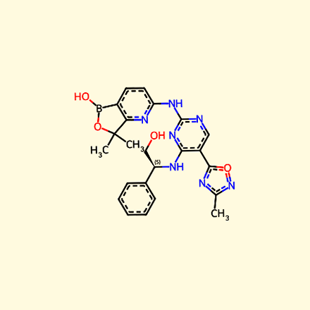 Cc1noc(-c2cnc(Nc3ccc4c(n3)C(C)(C)OB4O)nc2N[C@H](CO)c2ccccc2)n1